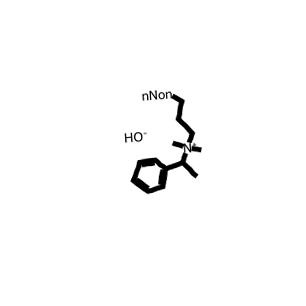 CCCCCCCCCCCC[N+](C)(C)C(C)c1ccccc1.[OH-]